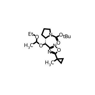 CCOC(C)OC(c1noc(C2(C)CC2)n1)[C@@H]1CCCN1C(=O)OC(C)(C)C